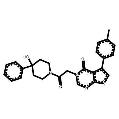 Cc1ccc(-c2csc3ncn(CC(=O)N4CCC(O)(c5ccccc5)CC4)c(=O)c23)cc1